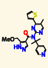 COCc1[nH]ncc1C(=O)N(c1ncc(C)c(-c2cccs2)n1)C(C)(C)c1ccncc1